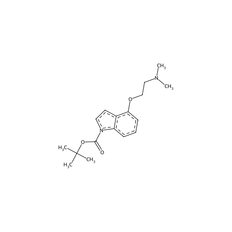 CN(C)CCOc1cccc2c1ccn2C(=O)OC(C)(C)C